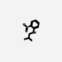 O=[N+]([O-])c1ccccc1NCC(F)I